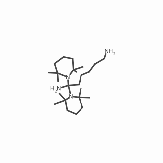 CC1(C)CCCC(C)(C)N1C(N)(CCCCCN)N1C(C)(C)CCCC1(C)C